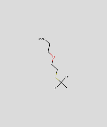 CCC(C)(CC)SCCOCCOC